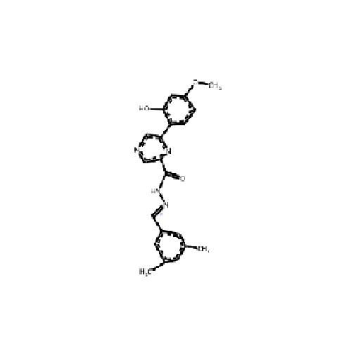 COc1ccc(-c2cncc(C(=O)N/N=C/c3cc(C)cc(C)c3)n2)c(O)c1